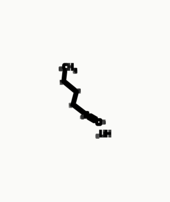 CCCCB=O.[LiH]